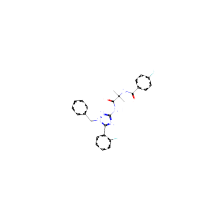 CC(C)(NC(=O)c1ccc(F)cc1)C(=O)Nc1nc(-c2ccccc2F)n(Cc2ccccc2)n1